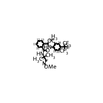 CO/N=C/C(C)(C)NC(=O)c1ccccc1C(=O)Nc1ccc(C(F)(C(F)(F)F)C(F)(F)F)cc1C